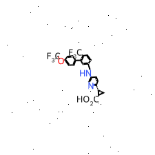 O=C(O)[C@H]1C[C@@H]1c1ccc(NCc2ccc(C(F)(F)F)c(-c3ccc(OC(F)(F)F)cc3)c2)cn1